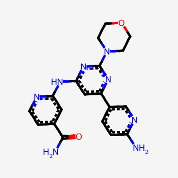 NC(=O)c1ccnc(Nc2cc(-c3ccc(N)nc3)nc(N3CCOCC3)n2)c1